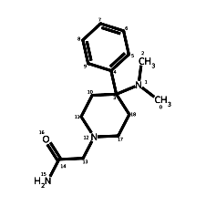 CN(C)C1(c2ccccc2)CCN(CC(N)=O)CC1